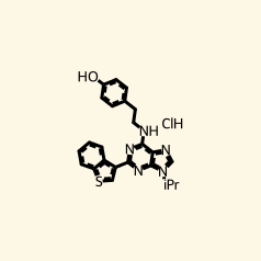 CC(C)n1cnc2c(NCCc3ccc(O)cc3)nc(-c3csc4ccccc34)nc21.Cl